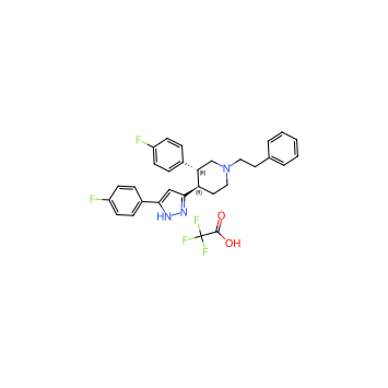 Fc1ccc(-c2cc([C@@H]3CCN(CCc4ccccc4)C[C@H]3c3ccc(F)cc3)n[nH]2)cc1.O=C(O)C(F)(F)F